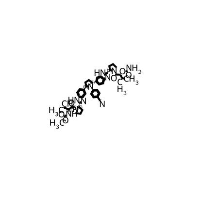 COC(=O)N[C@H](C(=O)N1CCC[C@H]1c1nc2cc([C@H]3CC[C@H](c4ccc5nc([C@@H]6CCCN6C(=O)C(OC(N)=O)C(C)C)[nH]c5c4)N3c3ccc(C#N)cc3)ccc2[nH]1)C(C)C